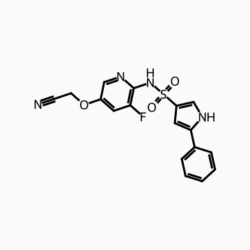 N#CCOc1cnc(NS(=O)(=O)c2c[nH]c(-c3ccccc3)c2)c(F)c1